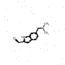 CN(C)Cc1ccc2cc(C=O)[nH]c2c1